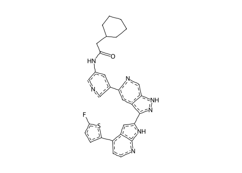 O=C(CC1CCCCC1)Nc1cncc(-c2cc3c(-c4cc5c(-c6ccc(F)s6)ccnc5[nH]4)n[nH]c3cn2)c1